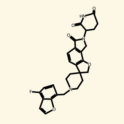 O=C1CCC(N2Cc3c(ccc4c3OCC43CCN(Cc4ccc(F)c5ccoc45)CC3)C2=O)C(=O)N1